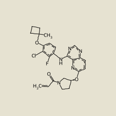 C=CC(=O)N1CC[C@H](Oc2ccc3ncnc(Nc4ccc(OC5(C)CCC5)c(Cl)c4F)c3n2)C1